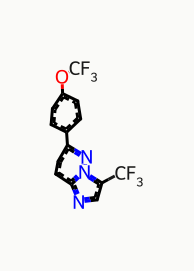 FC(F)(F)Oc1ccc(-c2ccc3ncc(C(F)(F)F)n3n2)cc1